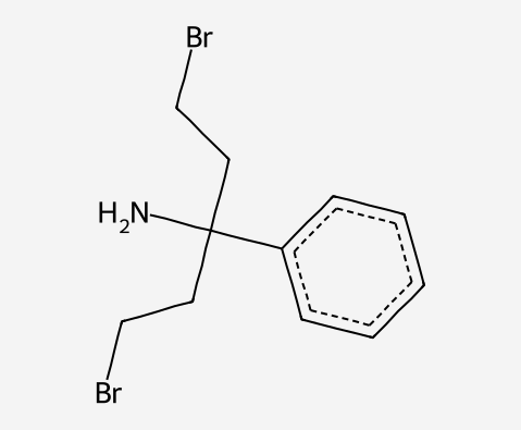 NC(CCBr)(CCBr)c1ccccc1